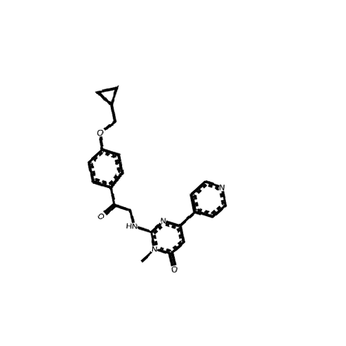 Cn1c(NCC(=O)c2ccc(OCC3CC3)cc2)nc(-c2ccncc2)cc1=O